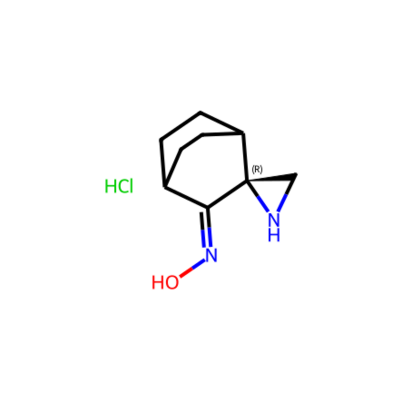 Cl.ON=C1C2CCC(CC2)[C@@]12CN2